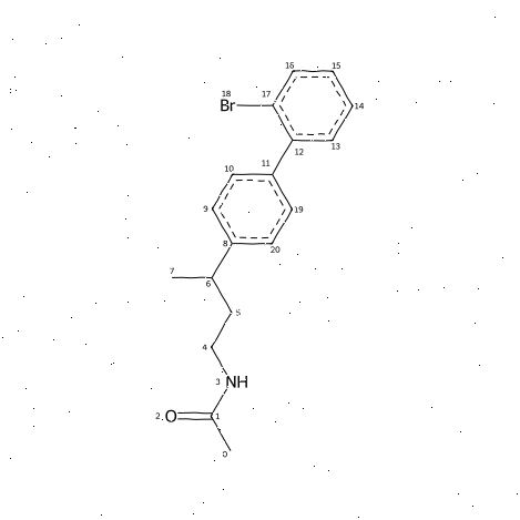 CC(=O)NCCC(C)c1ccc(-c2ccccc2Br)cc1